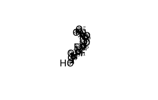 O=C1OC(CO)CN1c1cc(F)c(-c2ccc(OC3COc4nc([N+](=O)[O-])cn4C3)nc2)c(F)c1